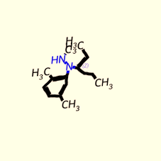 C/C=C(/CCC)N(NC)c1cc(C)ccc1C